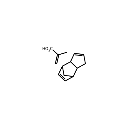 C1=CC2C3C=CC(C3)C2C1.C=C(C)C(=O)O